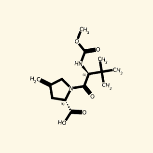 C=C1C[C@@H](C(=O)O)N(C(=O)[C@@H](NC(=O)OC)C(C)(C)C)C1